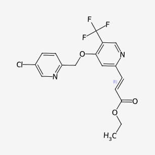 CCOC(=O)/C=C/c1cc(OCc2ccc(Cl)cn2)c(C(F)(F)F)cn1